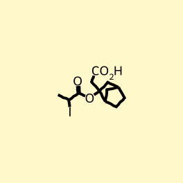 CC(I)C(=O)OC1(CC(=O)O)CC2CCC1C2